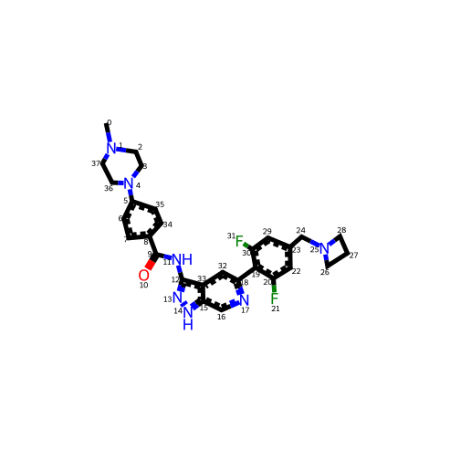 CN1CCN(c2ccc(C(=O)Nc3n[nH]c4cnc(-c5c(F)cc(CN6CCC6)cc5F)cc34)cc2)CC1